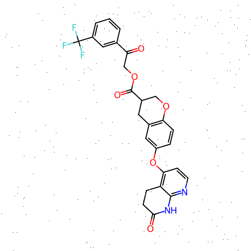 O=C1CCc2c(Oc3ccc4c(c3)CC(C(=O)OCC(=O)c3cccc(C(F)(F)F)c3)CO4)ccnc2N1